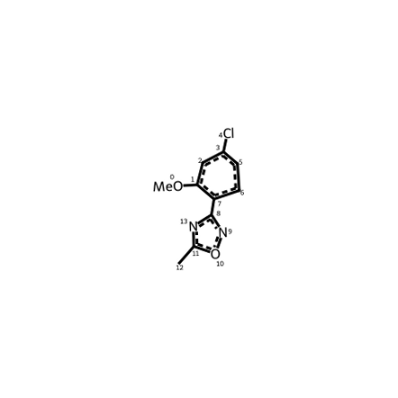 COc1cc(Cl)ccc1-c1noc(C)n1